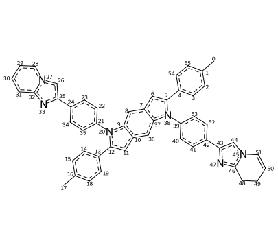 Cc1ccc(-c2cc3cc4c(cc(-c5ccc(C)cc5)n4-c4ccc(-c5cn6ccccc6n5)cc4)cc3n2-c2ccc(-c3cn4c(n3)CCC=C4)cc2)cc1